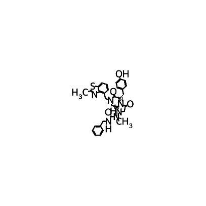 Cc1nc2c(CN3C[C@H]4N(C(=O)CN4N(C)C(=O)NCc4ccccc4)[C@@H](Cc4ccc(O)cc4)C3=O)cccc2s1